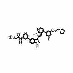 CC(C)(C)CC(=O)Nc1cncc(-c2ccc3[nH]nc(-c4cc5c(-c6cc(F)cc(OCCN7CCCC7)c6)ccnc5[nH]4)c3c2)c1